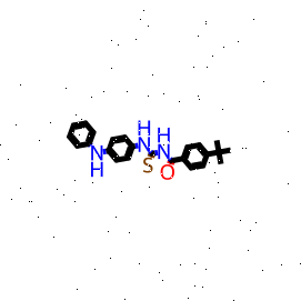 CC(C)(C)c1ccc(C(=O)NC(=S)Nc2ccc(Nc3ccccc3)cc2)cc1